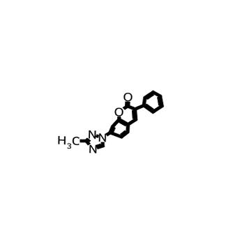 Cc1ncn(-c2ccc3cc(-c4ccccc4)c(=O)oc3c2)n1